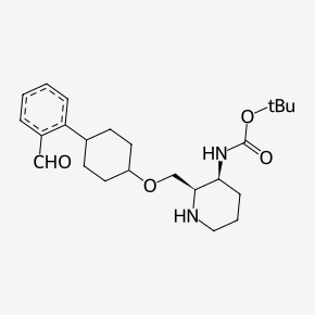 CC(C)(C)OC(=O)N[C@H]1CCCN[C@H]1COC1CCC(c2ccccc2C=O)CC1